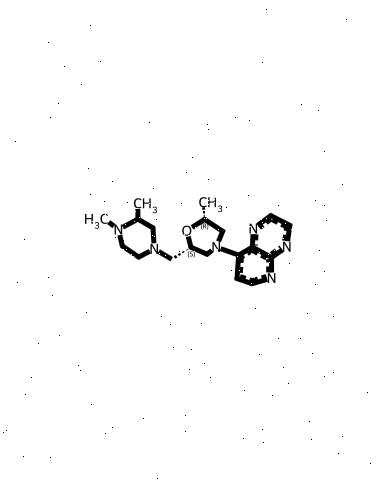 CC1CN(C[C@H]2CN(c3ccnc4nccnc34)C[C@@H](C)O2)CCN1C